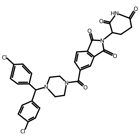 O=C1CCC(N2C(=O)c3ccc(C(=O)N4CCN(C(c5ccc(Cl)cc5)c5ccc(Cl)cc5)CC4)cc3C2=O)C(=O)N1